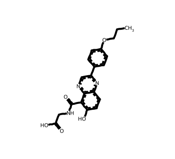 CCCOc1ccc(-c2cnc3c(C(=O)NCC(=O)O)c(O)ccc3n2)cc1